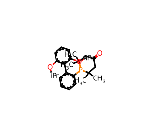 CC(C)Oc1cccc(OC(C)C)c1-c1ccccc1P1C(C)(C)CC(=O)CC1(C)C